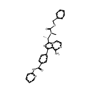 C[C@@H](c1nc(-c2ccc(C(=O)Nc3ccccn3)cc2)c2c(N)nccn12)N(C)C(=O)OCc1ccccc1